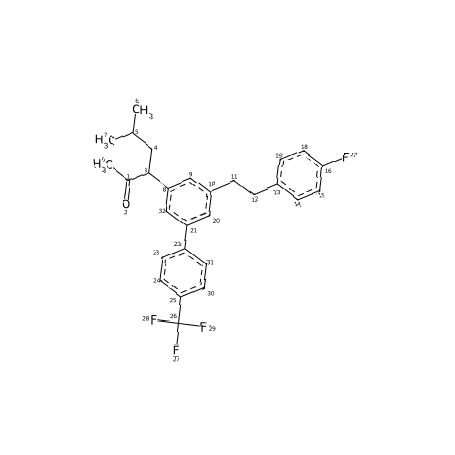 CC(=O)C(CC(C)C)c1cc(CCc2ccc(F)cc2)cc(-c2ccc(C(F)(F)F)cc2)c1